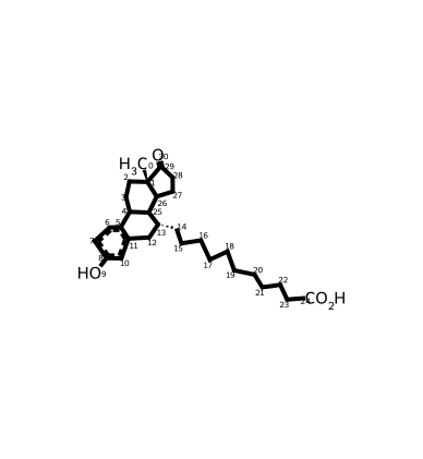 C[C@]12CCC3c4ccc(O)cc4C[C@@H](CCCCCCCCCCC(=O)O)C3C1CCC2=O